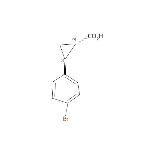 O=C(O)[C@H]1C[C@@H]1c1ccc(Br)cc1